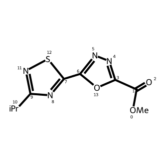 COC(=O)c1nnc(-c2nc(C(C)C)ns2)o1